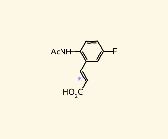 CC(=O)Nc1ccc(F)cc1/C=C/C(=O)O